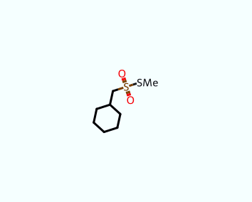 CSS(=O)(=O)CC1CCCCC1